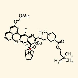 CCc1cccc2cc(OCOC)cc(-c3ncc4c(N5CC6CCC(C5)N6C(=O)OC(C)(C)C)nc(OC[C@@H]5CN(C(=O)OCC[Si](C)(C)C)CCN5C)nc4c3F)c12